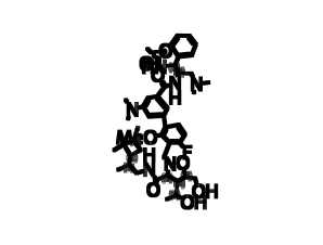 COc1c(-c2cc(C(=O)N[C@H](CN(C)C)[C@@H](NS(C)(=O)=O)c3ccccc3)cc(N(C)C)c2)ccc(F)c1CN1O[C@@H](CO)[C@@H]([C@H](C)O)[C@H]1C(=O)NC[C@@H](C)[C@@H]1C[C@H](C)C1(C)C